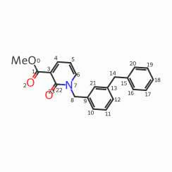 COC(=O)c1cccn(Cc2cccc(Cc3ccccc3)c2)c1=O